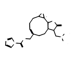 CN(C)CC1C(=O)O[C@H]2C1CC/C(COC(=S)n1ccnc1)=C\CC[C@@]1(C)O[C@@H]21